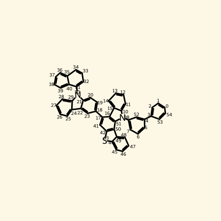 c1ccc(-c2cccc(-n3c4ccccc4c4c(-c5ccc6c(c5)c5ccccc5n6-c5cccc6ccccc56)cc5sc6ccccc6c5c43)c2)cc1